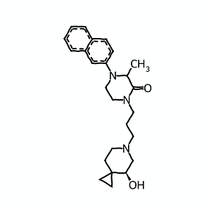 CC1C(=O)N(CCCN2CCC3(CC3)[C@H](O)C2)CCN1c1ccc2ccccc2c1